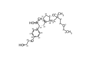 CCOCCC(C)(C)O[C@H]1CCN(C[C@H](c2ccc(OCCO)cc2)N(C)O)C1